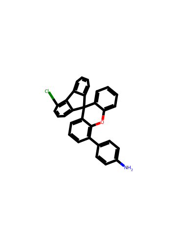 Nc1ccc(-c2cccc3c2Oc2ccccc2C32c3ccccc3-c3c(Cl)cccc32)cc1